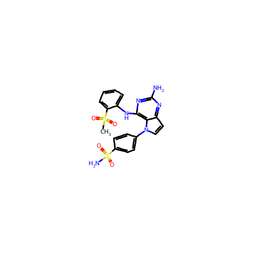 CS(=O)(=O)c1ccccc1Nc1nc(N)nc2ccn(-c3ccc(S(N)(=O)=O)cc3)c12